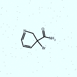 NC(=O)C1(Br)C=CC=NC1